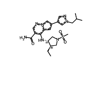 CC[C@@H]1CN(S(C)(=O)=O)C[C@H]1Nc1c(C(N)=O)cnn2cc(-c3cnn(CC(C)C)c3)cc12